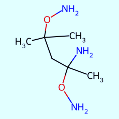 CC(C)(CC(C)(N)ON)ON